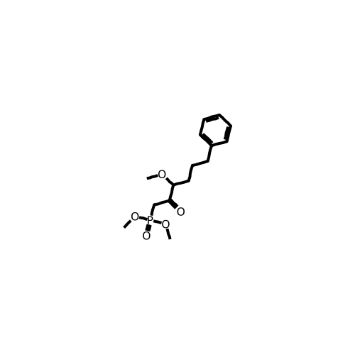 COC(CCCc1ccccc1)C(=O)CP(=O)(OC)OC